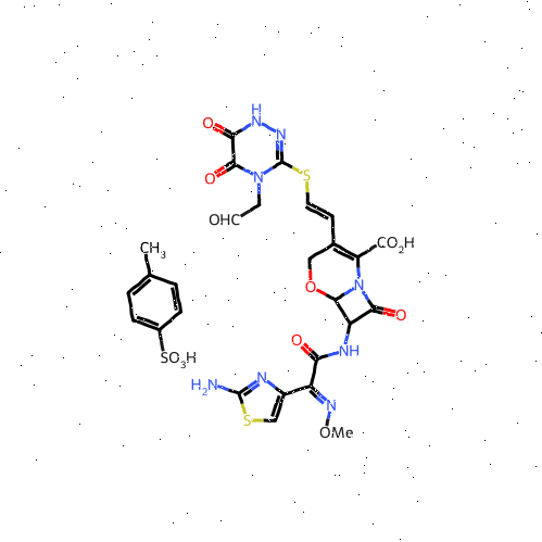 CON=C(C(=O)NC1C(=O)N2C(C(=O)O)=C(C=CSc3n[nH]c(=O)c(=O)n3CC=O)COC12)c1csc(N)n1.Cc1ccc(S(=O)(=O)O)cc1